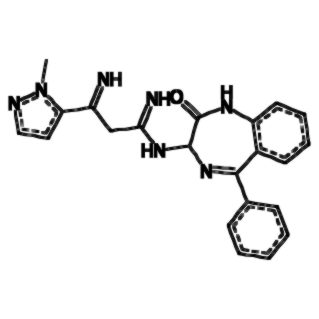 Cn1nccc1C(=N)CC(=N)NC1N=C(c2ccccc2)c2ccccc2NC1=O